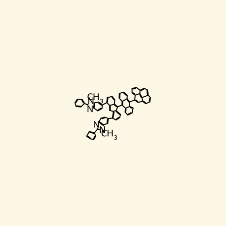 Cn1c(-c2ccccc2)nc2ccc(-c3cccc4c(-c5c6ccccc6c(-c6cc7cccc8ccc9cccc6c9c87)c6ccccc56)c5cccc(-c6ccc7nc(-c8ccccc8)n(C)c7c6)c5cc34)cc21